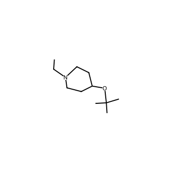 CCN1CCC(OC(C)(C)C)CC1